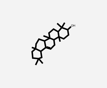 CC1(C)CCC2(C)CCC3C(=CCC4C3(C)CCC3C(C)(C)C(O)CCC34C)C2C1